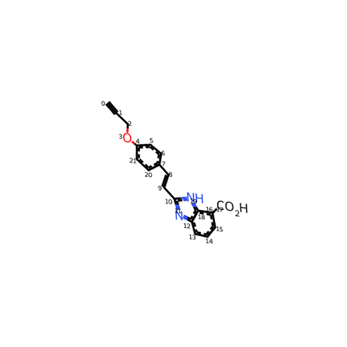 C#CCOc1ccc(C=Cc2nc3cccc(C(=O)O)c3[nH]2)cc1